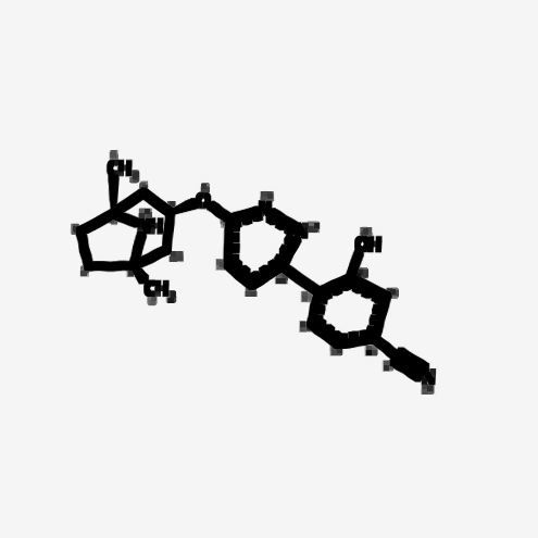 C[C@]12CC[C@](C)(C[C@@H](Oc3ccc(-c4ccc(C#N)cc4O)nn3)C1)N2